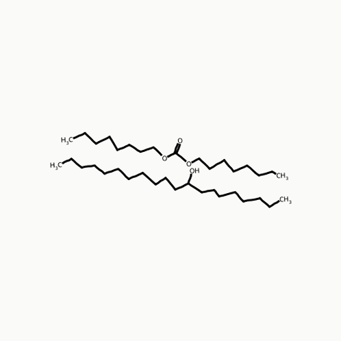 CCCCCCCCCCCC(O)CCCCCCCC.CCCCCCCCOC(=O)OCCCCCCCC